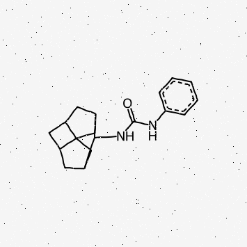 O=C(Nc1ccccc1)NC1C2CC3CC4CC1CC34C2